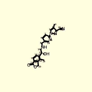 Cc1cn(-c2ccc(CNC[C@H](O)c3ccc4c(c3C)COC4=O)cn2)nc1C#N